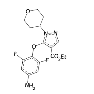 CCOC(=O)c1cnn(C2CCOCC2)c1Oc1c(F)cc(N)cc1F